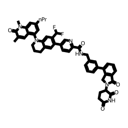 CCCc1cc(N2CCCc3cc(-c4ccc(C(=O)NCc5cccc(-c6cccc7c6CN(C6CCC(=O)NC6=O)C7=O)c5)nc4)c(C(F)F)cc32)c2cc(C)c(=O)n(C)c2c1